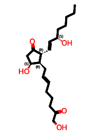 CCCCC[C@H](O)C=C[C@H]1C(=O)C[C@H](O)[C@@H]1CC=CCCCC(=O)CO